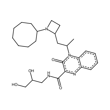 CC(CC1CCN1C1CCCCCCC1)n1c(=O)c(C(=O)NCC(O)CO)nc2ccccc21